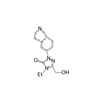 CCn1c(CO)nn(-c2ccc3cnccc3c2)c1=O